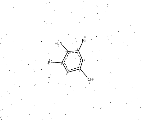 [CH]c1cc(Br)c(N)c(Br)c1